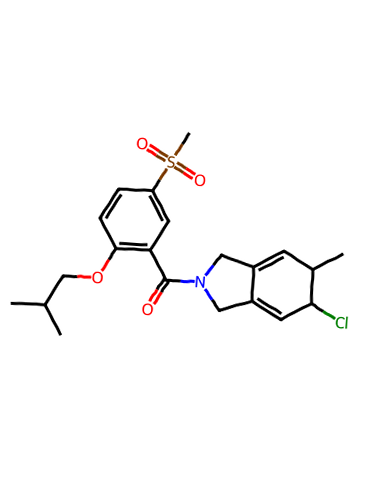 CC(C)COc1ccc(S(C)(=O)=O)cc1C(=O)N1CC2=CC(C)C(Cl)C=C2C1